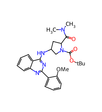 COc1ccccc1-c1nc(NC2CC(C(=O)N(C)C)N(C(=O)OC(C)(C)C)C2)c2ccccc2n1